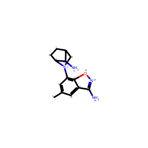 Cc1cc(N2CC3CCC2C3N)c2onc(N)c2c1